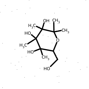 CC1(C)OC(CO)C(C)(O)C(C)(O)C1(C)O